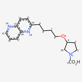 O=C(O)N1CCC(OCCCCc2ccc3ncccc3n2)C1